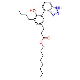 CCCCCCCCOC(=O)CCc1cc(CCCC)c(O)c(-c2cccc3[nH]nnc23)c1